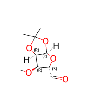 CO[C@H]1[C@H]2OC(C)(C)O[C@H]2O[C@@H]1C=O